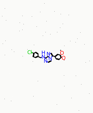 COc1ccc(-c2cnc3c(NCc4ccc(Cl)cc4)nccn23)cc1OC